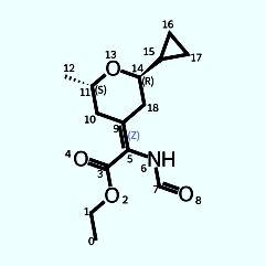 CCOC(=O)/C(NC=O)=C1\C[C@H](C)O[C@@H](C2CC2)C1